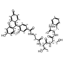 CNC(=O)[C@H](Cc1ccccc1)NC(=O)[C@H](CO)NC(=O)[C@@H](NC(=O)CCNC(=O)c1ccc(-c2c3ccc(=O)cc-3oc3cc(O)ccc23)c(C(=O)O)c1)C(C)O